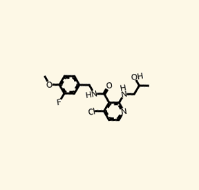 COc1ccc(CNC(=O)c2c(Cl)ccnc2NCC(C)O)cc1F